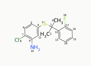 CC(C)(Sc1ccc(Cl)c(N)c1)c1ccccc1F